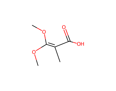 COC(OC)=C(C)C(=O)O